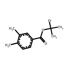 CCC(C)(C)OC(=O)c1ccc(C)c(C)c1